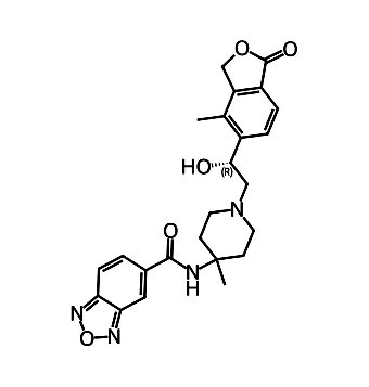 Cc1c([C@@H](O)CN2CCC(C)(NC(=O)c3ccc4nonc4c3)CC2)ccc2c1COC2=O